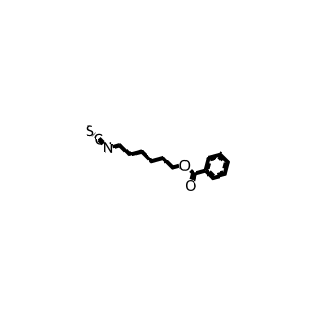 O=C(OCCCCCCN=C=S)c1ccccc1